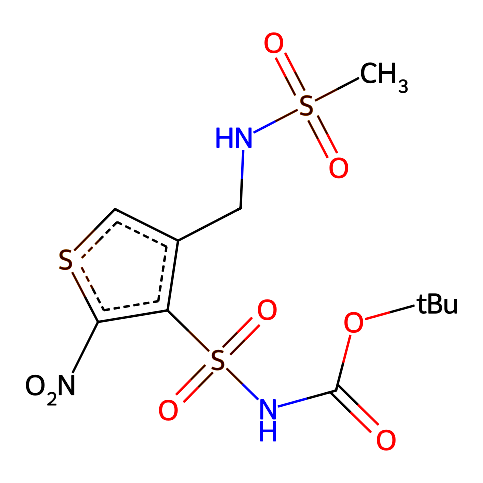 CC(C)(C)OC(=O)NS(=O)(=O)c1c(CNS(C)(=O)=O)csc1[N+](=O)[O-]